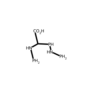 O=C(O)C(NP)PNP